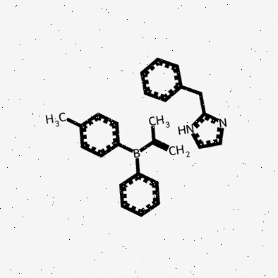 C=C(C)B(c1ccccc1)c1ccc(C)cc1.c1ccc(Cc2ncc[nH]2)cc1